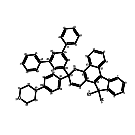 CCC1(CC)c2ccccc2-c2c1c1c(c3ccccc23)OC(c2ccc(N3CCOCC3)cc2)(c2cc(-c3ccccc3)nc(-c3ccccc3)n2)C=C1